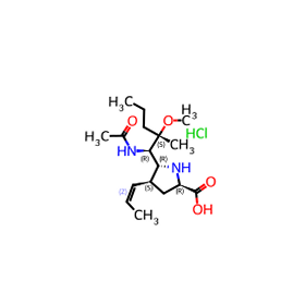 C/C=C\[C@@H]1C[C@H](C(=O)O)N[C@H]1[C@@H](NC(C)=O)[C@](C)(CCC)OC.Cl